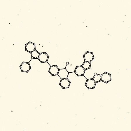 CC1c2cc(-c3ccc4c5ccccc5n(-c5ccccc5)c4c3)ccc2-c2ccccc2C1c1cc(-c2cccc3c2oc2ccccc23)c2sc3ccccc3c2c1